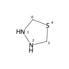 C1NNCS1